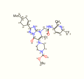 CCc1c(N2CCN(C(=O)OC(C)(C)C)CC2)c(=O)n2nc(C3=CC[C@H](OC)CC3)nc2n1CC(=O)Nc1ccc(C(F)(F)F)nc1C